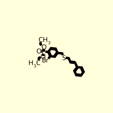 CCOP(=O)(OCC)c1ccc(CSCC=Cc2ccccc2)cc1Br